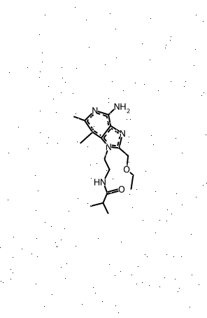 CCOCc1nc2c(N)nc(C)c(C)c2n1CCNC(=O)C(C)C